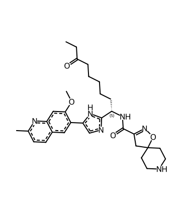 CCC(=O)CCCCC[C@H](NC(=O)C1=NOC2(CCNCC2)C1)c1ncc(-c2cc3ccc(C)nc3cc2OC)[nH]1